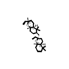 C=C[C@@]1(CC2CC[C@]3(C)O[C@](C)(C=C)CC[C@H]3C2(C)C)CC[C@H]2C(C)(C)CCC[C@]2(C)O1